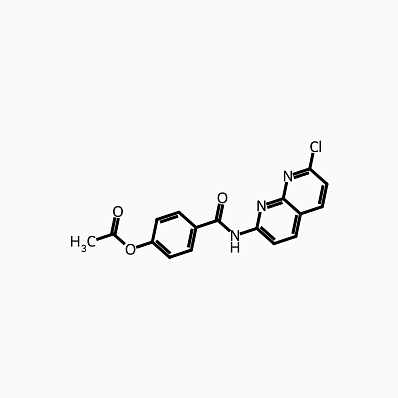 CC(=O)Oc1ccc(C(=O)Nc2ccc3ccc(Cl)nc3n2)cc1